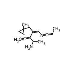 C=C=C(/C(=C\N=C=CC)CC1(C)CC1)C(C)N